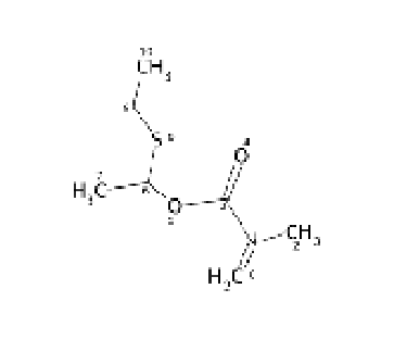 C=C(C)C(=O)OC(C)SCC